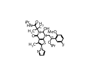 COc1ccc(F)cc1[C@H](CN1c2sc(-n3cccn3)c(C)c2C(=O)N(C(C)(C)C(=O)NC(C)C)C1O)OC(C)C